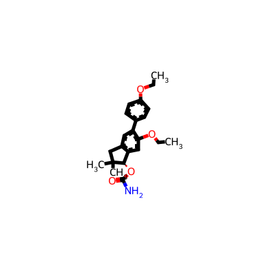 CCOc1ccc(-c2cc3c(cc2OCC)[C@H](OC(N)=O)C(C)(C)C3)cc1